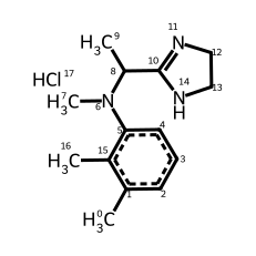 Cc1cccc(N(C)C(C)C2=NCCN2)c1C.Cl